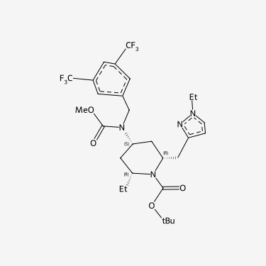 CC[C@@H]1C[C@H](N(Cc2cc(C(F)(F)F)cc(C(F)(F)F)c2)C(=O)OC)C[C@H](Cc2ccn(CC)n2)N1C(=O)OC(C)(C)C